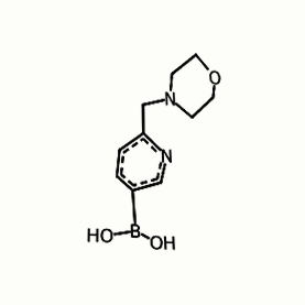 OB(O)c1ccc(CN2CCOCC2)nc1